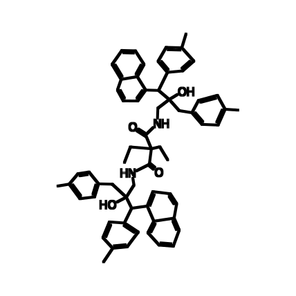 CCC(CC)(C(=O)NCC(O)(Cc1ccc(C)cc1)C(c1ccc(C)cc1)c1cccc2ccccc12)C(=O)NCC(O)(Cc1ccc(C)cc1)C(c1ccc(C)cc1)c1cccc2ccccc12